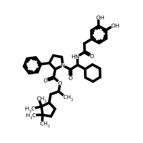 CC(CC1CCC(C)(C)C1(C)C)OC(=O)C1C(c2ccccc2)CCN1C(=O)C(NC(=O)Cc1ccc(O)c(O)c1)C1CCCCC1